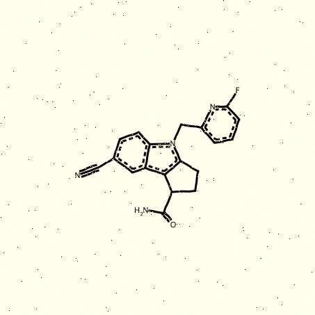 N#Cc1ccc2c(c1)c1c(n2Cc2cccc(F)n2)C[CH]C1C(N)=O